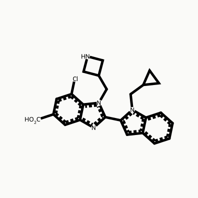 O=C(O)c1cc(Cl)c2c(c1)nc(-c1cc3ccccc3n1CC1CC1)n2CC1CNC1